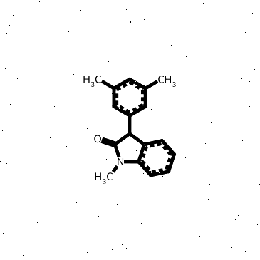 Cc1cc(C)cc(C2C(=O)N(C)c3ccccc32)c1